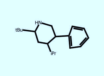 CC(C)C1CC(C(C)(C)C)NCC1c1ccccc1